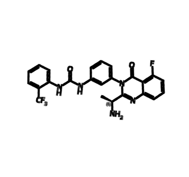 C[C@H](N)c1nc2cccc(F)c2c(=O)n1-c1cccc(NC(=O)Nc2ccccc2C(F)(F)F)c1